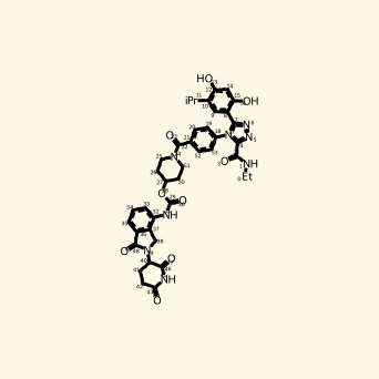 CCNC(=O)c1nnc(-c2cc(C(C)C)c(O)cc2O)n1-c1ccc(C(=O)N2CCC(OC(=O)Nc3cccc4c3CN(C3CCC(=O)NC3=O)C4=O)CC2)cc1